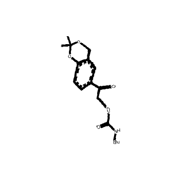 CC(C)(C)NC(=O)OCC(=O)c1ccc2c(c1)COC(C)(C)O2